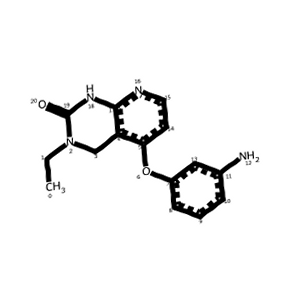 CCN1Cc2c(Oc3cccc(N)c3)ccnc2NC1=O